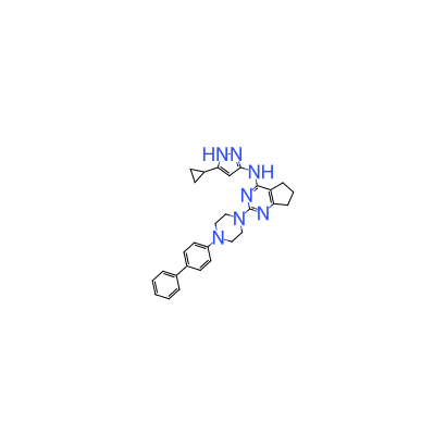 c1ccc(-c2ccc(N3CCN(c4nc5c(c(Nc6cc(C7CC7)[nH]n6)n4)CCC5)CC3)cc2)cc1